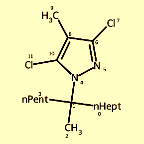 CCCCCCCC(C)(CCCCC)n1nc(Cl)c(C)c1Cl